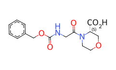 O=C(NCC(=O)N1CCOC[C@H]1C(=O)O)OCc1ccccc1